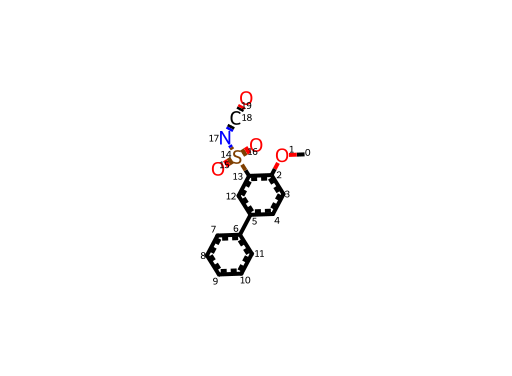 COc1ccc(-c2ccccc2)cc1S(=O)(=O)N=C=O